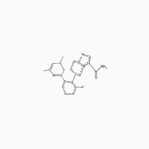 CC1=CC(C)CC(c2cccc(F)c2-c2ccc3ncc(C(N)=O)n3c2)=N1